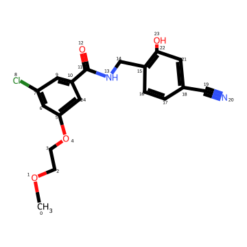 COCCOc1cc(Cl)cc(C(=O)NCc2ccc(C#N)cc2O)c1